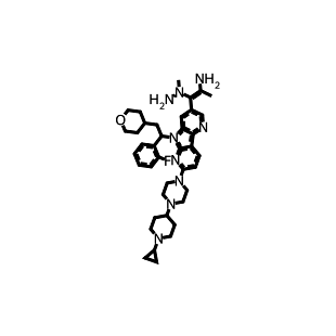 C/C(N)=C(\c1cnc2c3ccc(N4CCN(C5CCN(C6CC6)CC5)CC4)nc3n(C(CC3CCOCC3)c3ccccc3F)c2c1)N(C)N